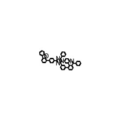 c1ccc(-c2nc(-c3ccc(-c4cccc5c4oc4ccccc45)cc3)nc(-c3cccc(-c4cccc5c(-c6ccccc6)nc6ccccc6c45)c3)n2)cc1